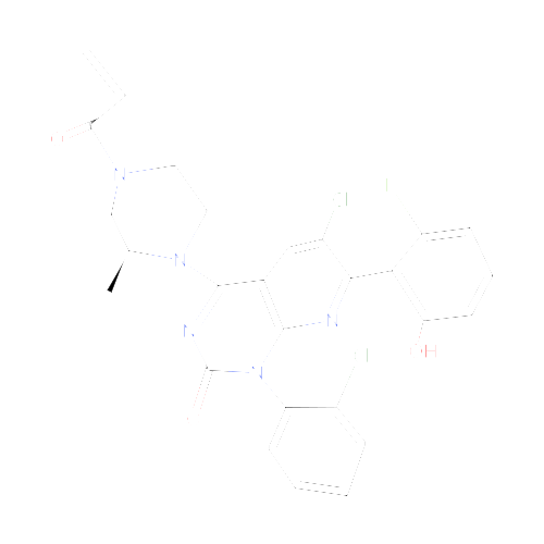 C=CC(=O)N1CCN(c2nc(=O)n(-c3ccccc3Cl)c3nc(-c4c(O)cccc4F)c(Cl)cc23)[C@@H](C)C1